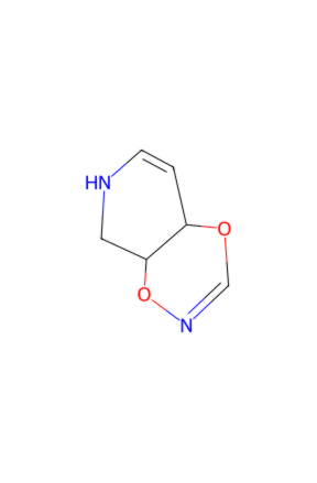 C1=CC2OC=NOC2CN1